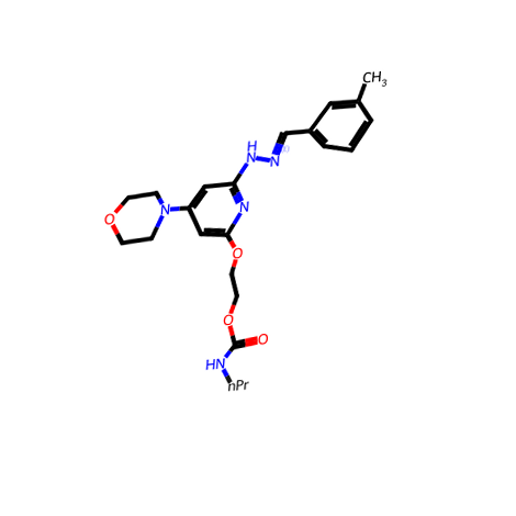 CCCNC(=O)OCCOc1cc(N2CCOCC2)cc(N/N=C/c2cccc(C)c2)n1